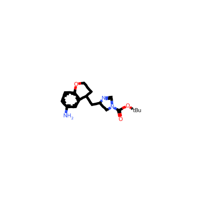 CC(C)(C)OC(=O)N1C=NC(CC2CCOc3ccc(N)cc32)C1